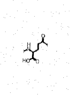 O=C(I)CCC(NI)C(=O)O